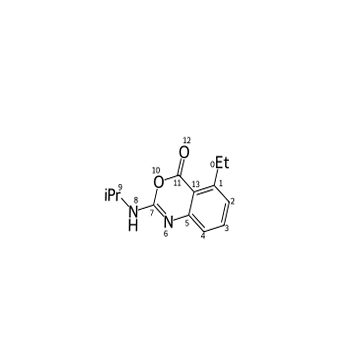 CCc1cccc2nc(NC(C)C)oc(=O)c12